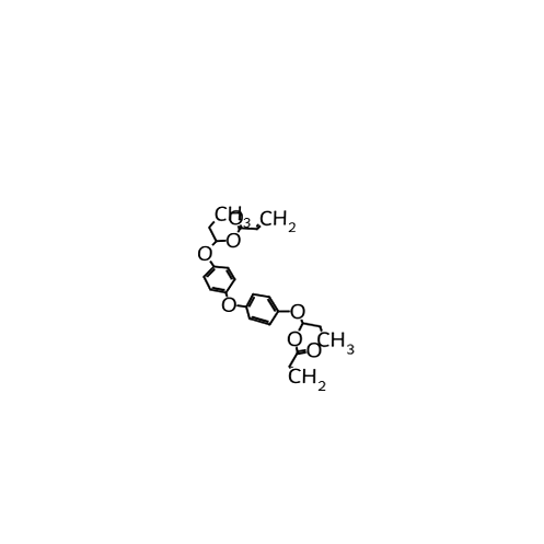 C=CC(=O)OC(CC)Oc1ccc(Oc2ccc(OC(CC)OC(=O)C=C)cc2)cc1